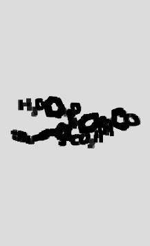 CC1=CC[C@@H](C(=O)N(c2cc(C#CC(C)(C)C)sc2C(=O)O)[C@H]2CC[C@](O)(CO[C@@H]3CCOC3)CC2)CC1